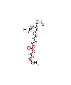 CCC(COCCCCOC(=O)OCCOC)OC